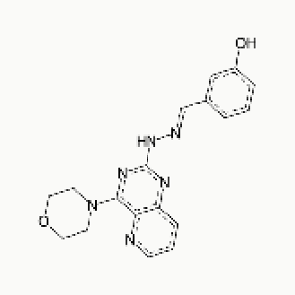 Oc1cccc(/C=N/Nc2nc(N3CCOCC3)c3ncccc3n2)c1